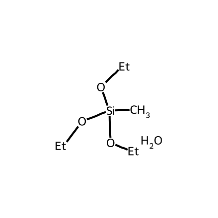 CCO[Si](C)(OCC)OCC.O